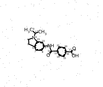 CC(C)N1CCc2ccc(NC(=O)c3ccc(C(=O)O)cc3)cc21